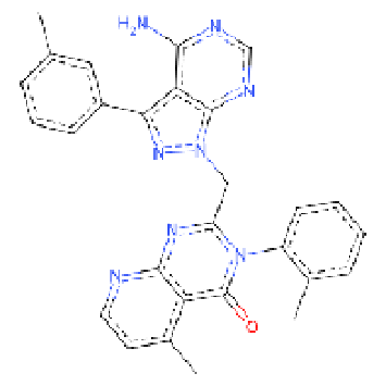 Cc1cccc(-c2nn(Cc3nc4nccc(C)c4c(=O)n3-c3ccccc3C)c3ncnc(N)c23)c1